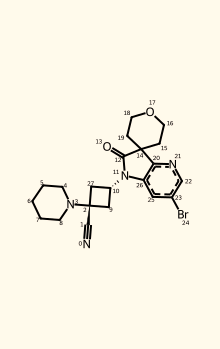 N#C[C@]1(N2CCCCC2)C[C@@H](N2C(=O)C3(CCOCC3)c3ncc(Br)cc32)C1